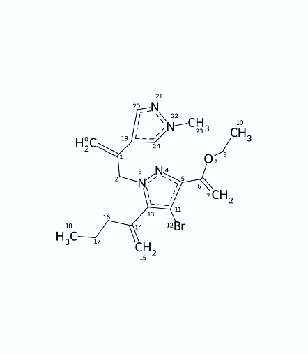 C=C(Cn1nc(C(=C)OCC)c(Br)c1C(=C)CCC)c1cnn(C)c1